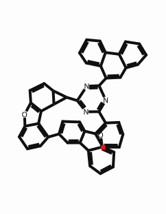 C1=CC2C(c3nc(-c4ccccc4)nc(-c4cc5ccccc5c5ccccc45)n3)C2c2c1oc1cccc(-c3ccc4oc5ccccc5c4c3)c21